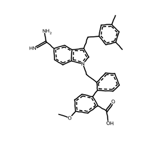 COc1ccc(-c2ccccc2Cn2cc(Cc3cc(C)cc(C)c3)c3cc(C(=N)N)ccc32)c(C(=O)O)c1